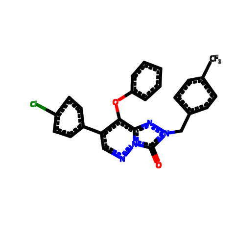 O=c1n(Cc2ccc(C(F)(F)F)cc2)nc2c(Oc3ccccc3)c(-c3ccc(Cl)cc3)cnn12